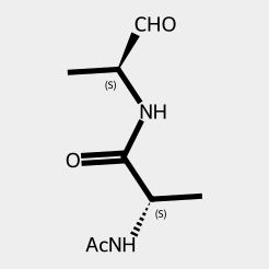 CC(=O)N[C@@H](C)C(=O)N[C@@H](C)C=O